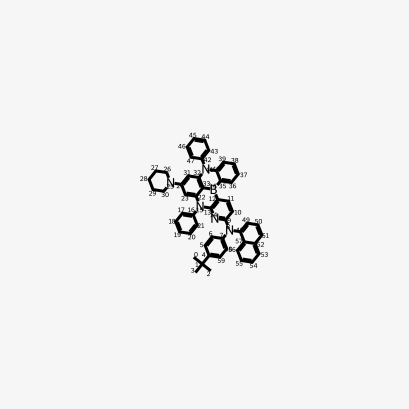 CC(C)(C)c1ccc(N(c2ccc3c(n2)N(c2ccccc2)c2cc(N4CCCCC4)cc4c2B3c2ccccc2N4c2ccccc2)c2cccc3ccccc23)cc1